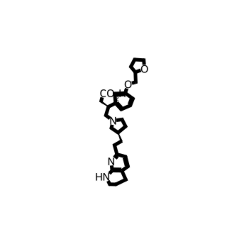 O=C(O)C[C@H](CN1CC[C@@H](CCc2ccc3c(n2)NCCC3)C1)c1cccc(OCC2CCCO2)c1